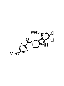 COc1cnc(C(=O)N2CCc3[nH]c4c(Cl)c(Cl)cc(SC)c4c3[C@H]2C)nc1